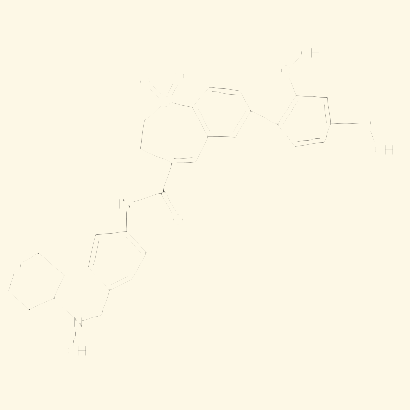 COc1ccc(-c2ccc3c(c2)C=C(C(=O)Nc2ccc(CN(C)C4CCOCC4)cc2)CCS3(=O)=O)c(OC)c1